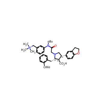 CCCCN(C(=O)CN1C[C@H](c2ccc3c(c2)CCO3)[C@@H](C(=O)O)[C@@H]1Cc1ccccc1OC)c1cccc(C[N+](C)(C)C)c1